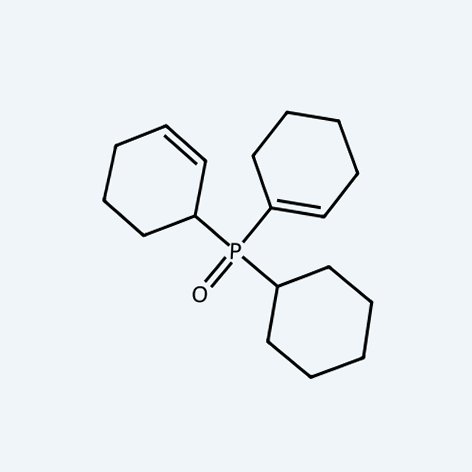 O=P(C1=CCCCC1)(C1C=CCCC1)C1CCCCC1